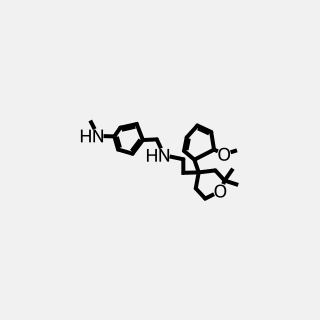 CNc1ccc(CNCCC2(C3C=CC=CC3OC)CCOC(C)(C)C2)cc1